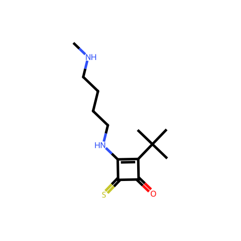 CNCCCCNc1c(C(C)(C)C)c(=O)c1=S